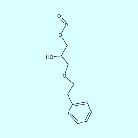 O=NOCC(O)COCCc1ccccc1